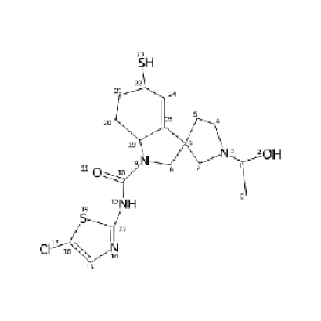 CC(O)N1CCC2(C1)CN(C(=O)Nc1ncc(Cl)s1)C1CCC(S)C=C12